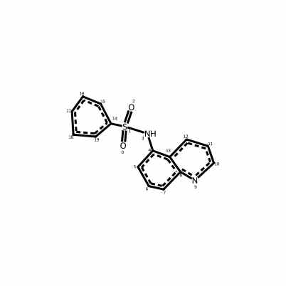 O=S(=O)(Nc1cccc2ncccc12)c1ccccc1